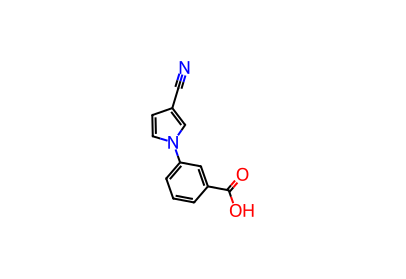 N#Cc1ccn(-c2cccc(C(=O)O)c2)c1